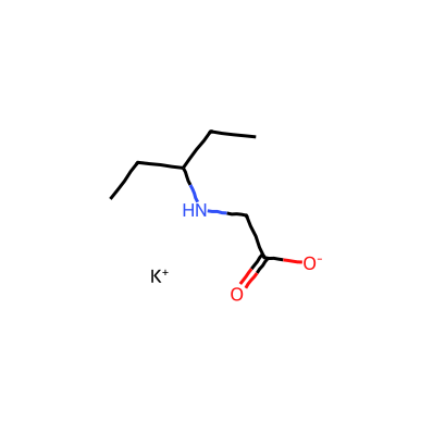 CCC(CC)NCC(=O)[O-].[K+]